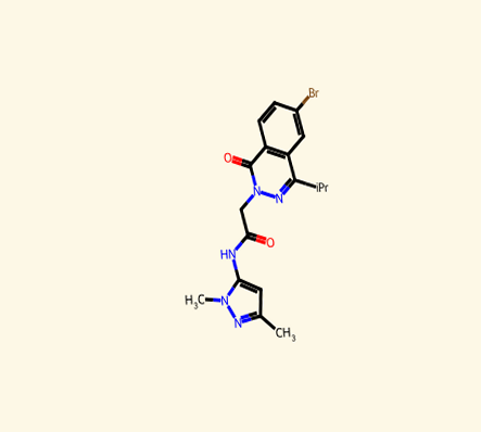 Cc1cc(NC(=O)Cn2nc(C(C)C)c3cc(Br)ccc3c2=O)n(C)n1